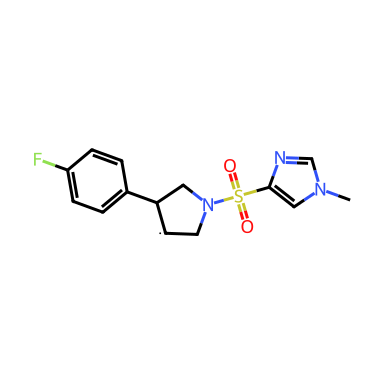 Cn1cnc(S(=O)(=O)N2C[CH]C(c3ccc(F)cc3)C2)c1